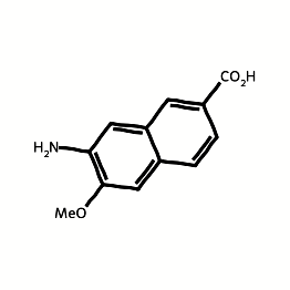 COc1cc2ccc(C(=O)O)cc2cc1N